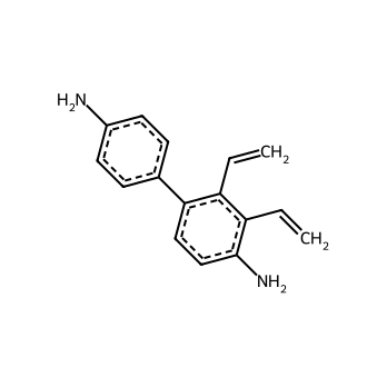 C=Cc1c(N)ccc(-c2ccc(N)cc2)c1C=C